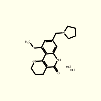 COc1cc(CN2CCCC2)cc2[nH]c(=O)c3c(c12)NCCC3.Cl.Cl